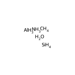 C.N.O.[AlH3].[SiH4]